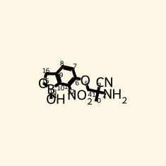 CC(N)(C#N)COc1ccc2c(c1[N+](=O)[O-])B(O)OC2